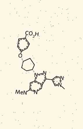 CNc1cc2c(cn1)c(-c1cnn(C)c1)nn2[C@H]1CC[C@@H](Oc2ccc(C(=O)O)cc2)CC1